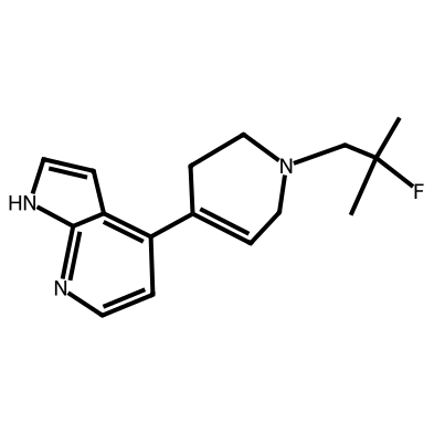 CC(C)(F)CN1CC=C(c2ccnc3[nH]ccc23)CC1